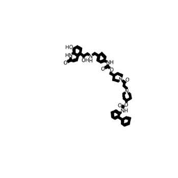 O=C(Nc1ccc(CNCC(O)c2ccc(O)c3[nH]c(=O)ccc23)cc1)OCC1CCN(C(=O)CCN2CCC(OC(=O)Nc3ccccc3-c3ccccc3)CC2)CC1